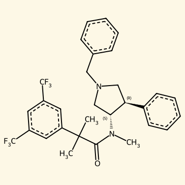 CN(C(=O)C(C)(C)c1cc(C(F)(F)F)cc(C(F)(F)F)c1)[C@@H]1CN(Cc2ccccc2)C[C@H]1c1ccccc1